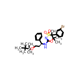 CC1(C)OC(N[C@@H](CCO[Si](C)(C)C(C)(C)C)c2ccccc2)=NS(=O)(=O)C1(C)c1cccc(Br)c1